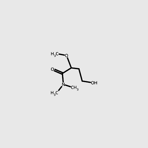 COC(CCO)C(=O)N(C)C